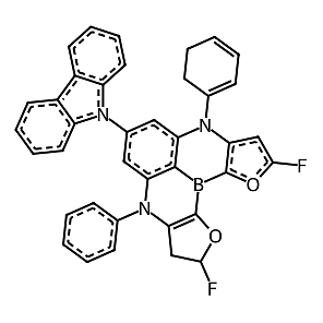 Fc1cc2c(o1)B1C3=C(CC(F)O3)N(c3ccccc3)c3cc(-n4c5ccccc5c5ccccc54)cc(c31)N2C1=CC=CCC1